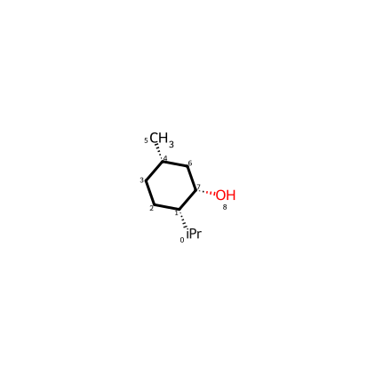 CC(C)[C@@H]1CC[C@H](C)C[C@@H]1O